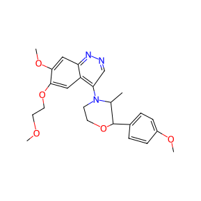 COCCOc1cc2c(N3CCOC(c4ccc(OC)cc4)C3C)cnnc2cc1OC